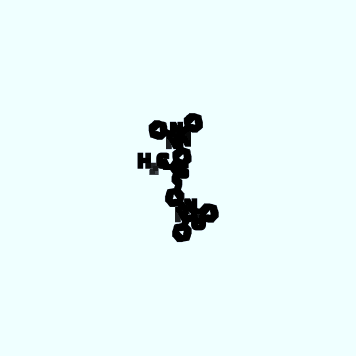 C=Cc1c(/C=C/c2cccc(-c3nc(-c4ccccc4)c4oc5ccccc5c4n3)c2)sc2ccc(-c3nc(-c4ccccc4)nc(-c4ccccc4)n3)cc12